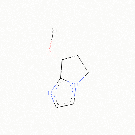 CCO[C@@H]1CCn2ccnc21